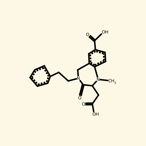 CN1c2ccc(C(=O)O)cc2CN(CCc2ccccc2)C(=O)C1CC(=O)O